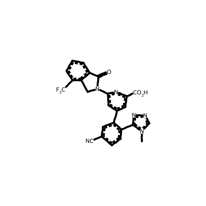 Cn1cnnc1-c1ccc(C#N)cc1-c1cc(C(=O)O)nc(N2Cc3c(cccc3C(F)(F)F)C2=O)c1